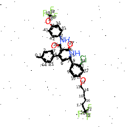 Cc1ccc(-c2cc(-c3ccc(OCCCCCC(F)(F)F)cc3Cl)[nH]c(=O)c2C(=O)Nc2ccc(OC(F)(F)F)cc2)cc1